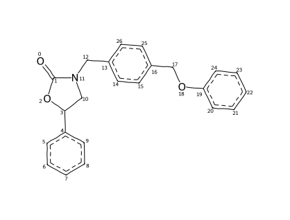 O=C1OC(c2ccccc2)CN1Cc1ccc(COc2ccccc2)cc1